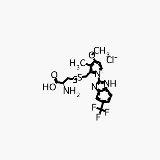 COc1cc[n+](-c2nc3cc(C(F)(F)F)ccc3[nH]2)c(CSSC[C@H](N)C(=O)O)c1C.[Cl-]